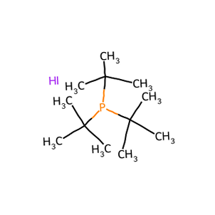 CC(C)(C)P(C(C)(C)C)C(C)(C)C.I